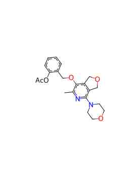 CC(=O)Oc1ccccc1COc1c(C)nc(N2CCOCC2)c2c1COC2